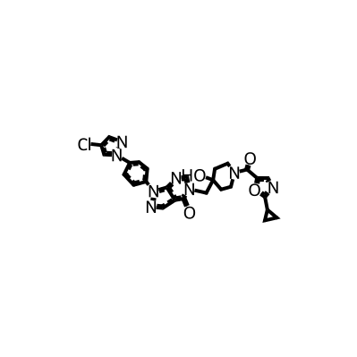 O=C(c1cnc(C2CC2)o1)N1CCC(O)(Cn2cnc3c(cnn3-c3ccc(-n4cc(Cl)cn4)cc3)c2=O)CC1